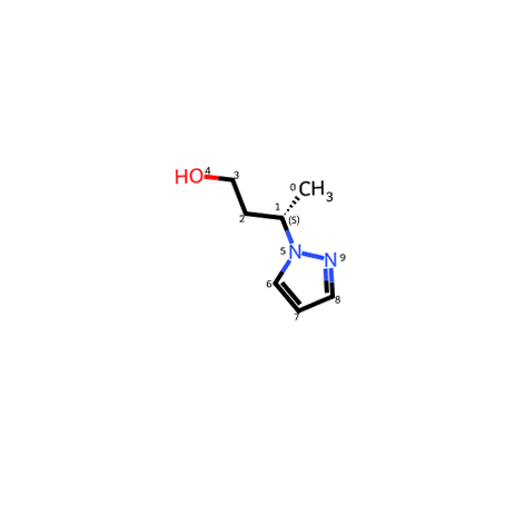 C[C@@H](CCO)n1cccn1